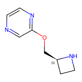 c1cnc(OC[C@@H]2CCN2)cn1